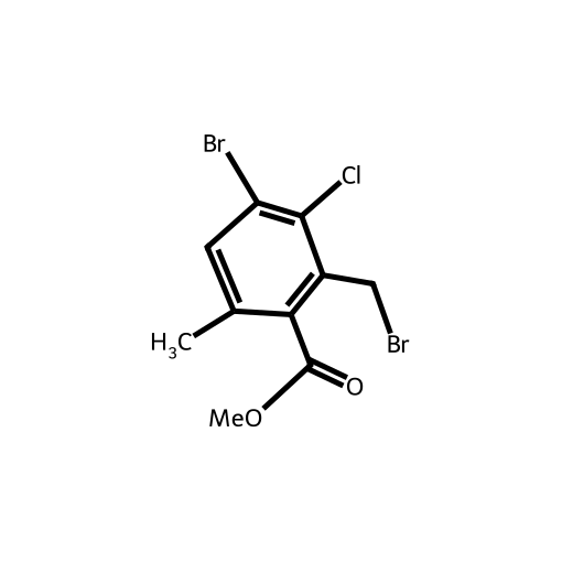 COC(=O)c1c(C)cc(Br)c(Cl)c1CBr